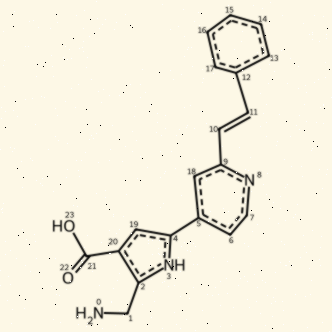 NCc1[nH]c(-c2ccnc(C=Cc3ccccc3)c2)cc1C(=O)O